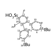 Cc1cc(-c2ccc(C(C)(C)C)cc2)c(-c2ccc(C(C)(C)C)cc2)c(I)c1S(=O)(=O)O